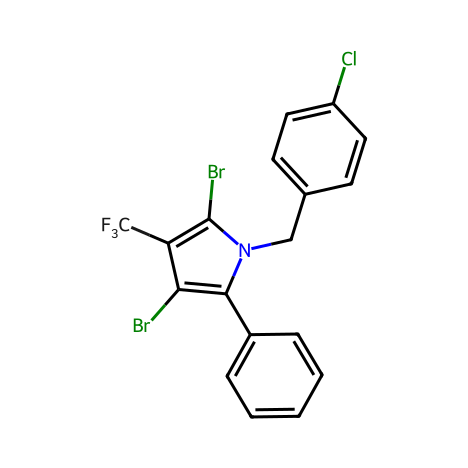 FC(F)(F)c1c(Br)c(-c2ccccc2)n(Cc2ccc(Cl)cc2)c1Br